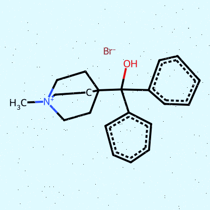 C[N+]12CCC(C(O)(c3ccccc3)c3ccccc3)(CC1)CC2.[Br-]